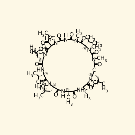 COC(=O)C1C(=O)N(C)[C@@H](CC(C)C)C(=O)N[C@@H](C(C)C)C(=O)N(C)[C@@H](CC(C)C)C(=O)N[C@@H](C)C(=O)NC(C)C(=O)N(C)[C@@H](CC(C)C)CC(=O)N(C)C(=O)N(C)[C@@H](C(C)C)C(=O)N(C)C(=O)NC(=O)N1C